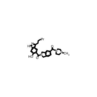 CC(C)CCc1n[nH]c2cc(O)c(C(=O)N3Cc4ccc(C(=O)N5CCN(C)CC5)cc4C3)cc12